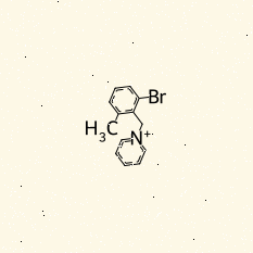 Cc1cccc(Br)c1C[n+]1ccccc1